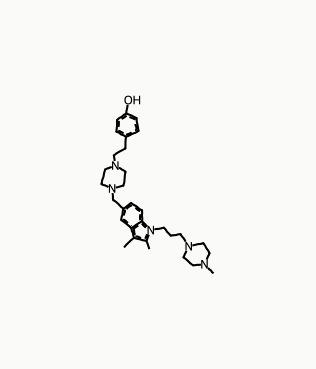 Cc1c(C)n(CCCN2CCN(C)CC2)c2ccc(CN3CCN(CCc4ccc(O)cc4)CC3)cc12